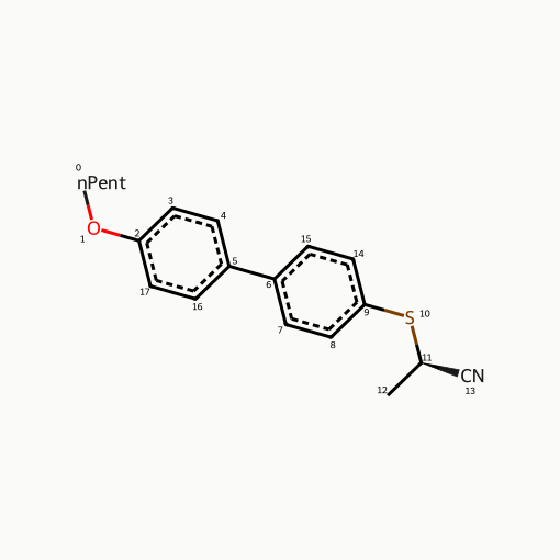 CCCCCOc1ccc(-c2ccc(S[C@H](C)C#N)cc2)cc1